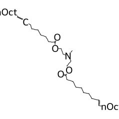 CCCCCCCCC=CCCCCCCCC(=O)OCCN(C)CCOC(=O)CCCCCCCC=CCCCCCCCC